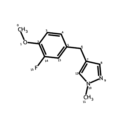 COc1ccc([CH]c2cnn(C)c2)cc1F